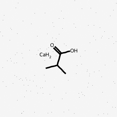 CC(C)C(=O)O.[CaH2]